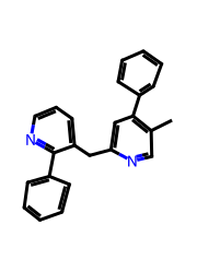 Cc1cnc(Cc2cccnc2-c2ccccc2)cc1-c1ccccc1